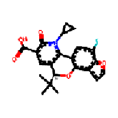 CC(C)(C)[C@@H]1Oc2c(cc(F)c3occc23)-c2c1cc(C(=O)O)c(=O)n2C1CC1